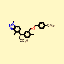 COc1ccc(COCc2cc([C@@H](CC(=O)O)c3ccc4c(nnn4C)c3C)ccc2C)cc1